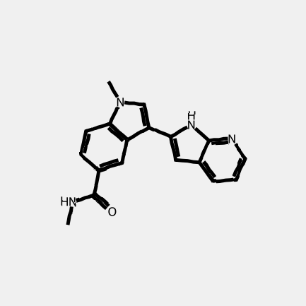 CNC(=O)c1ccc2c(c1)c(-c1cc3cccnc3[nH]1)cn2C